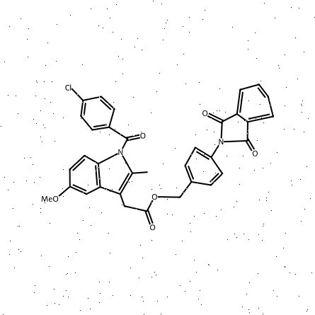 COc1ccc2c(c1)c(CC(=O)OCc1ccc(N3C(=O)c4ccccc4C3=O)cc1)c(C)n2C(=O)c1ccc(Cl)cc1